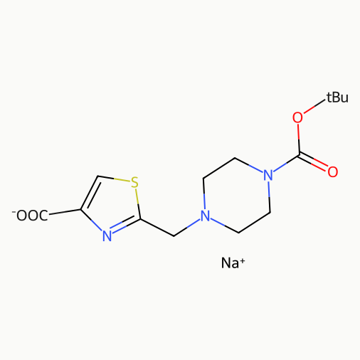 CC(C)(C)OC(=O)N1CCN(Cc2nc(C(=O)[O-])cs2)CC1.[Na+]